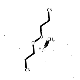 C=C.N#CCCOOCCC#N